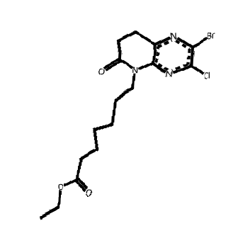 CCOC(=O)CCCCCCN1C(=O)CCc2nc(Br)c(Cl)nc21